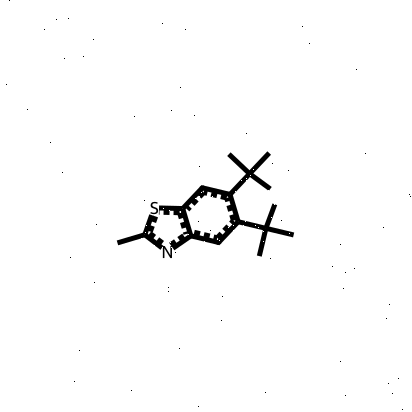 Cc1nc2cc(C(C)(C)C)c(C(C)(C)C)cc2s1